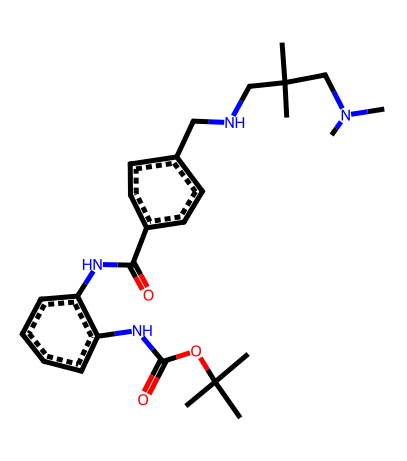 CN(C)CC(C)(C)CNCc1ccc(C(=O)Nc2ccccc2NC(=O)OC(C)(C)C)cc1